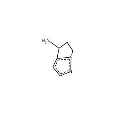 NC1CCn2nccc21